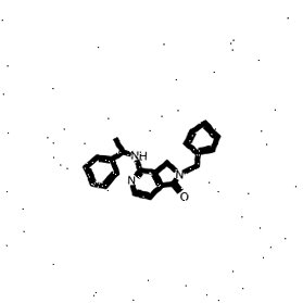 CC(Nc1nccc2c1CN(Cc1ccccc1)C2=O)c1ccccc1